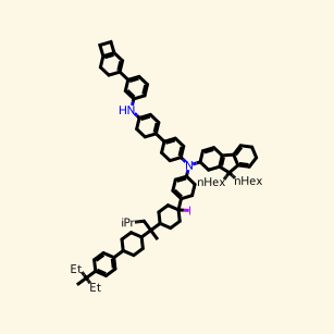 CCCCCCC1(CCCCCC)C2=CCCC=C2C2=C1CC(N(C1=CC=C(C3=CC=C(Nc4cccc(C5=CC6=C(CC5)CC6)c4)CC3)CC1)C1=CC=C(C3(I)CCC(C(C)(CC(C)C)C4CCC(c5ccc(C(C)(CC)CC)cc5)CC4)CC3)CC1)C=C2